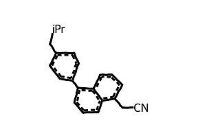 CC(C)Cc1ccc(-c2cccc3c(CC#N)cccc23)cc1